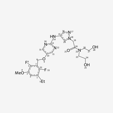 CCc1cc(OC)c(F)c(COc2cnc(Nc3cnn(CC(=O)N(CCO)CCO)c3)nc2)c1F